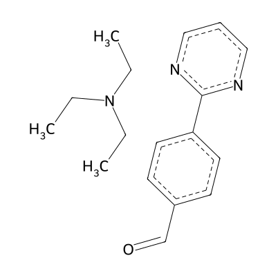 CCN(CC)CC.O=Cc1ccc(-c2ncccn2)cc1